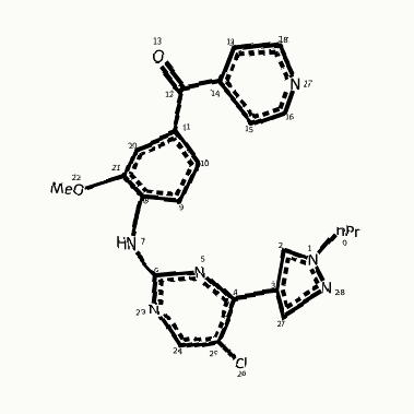 CCCn1cc(-c2nc(Nc3ccc(C(=O)c4ccncc4)cc3OC)ncc2Cl)cn1